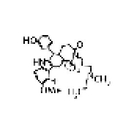 C=CCN(C)CCCN1C(=O)CCC2C(c3cccc(O)c3)c3[nH]c4ccc(OC)c(F)c4c3C[C@@]2(C)C1=O